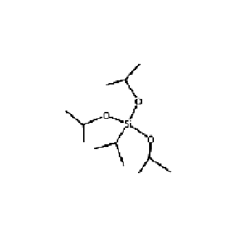 CC(C)O[Si](OC(C)C)(OC(C)C)C(C)C